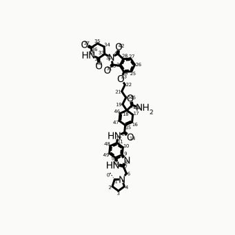 C[C@H]1CCCN1Cc1nc2cc(NC(=O)C3=CCC(CCCCOc4cccc5c4C(=O)N(C4CCC(=O)NC4=O)C5=O)(C(N)=O)C=C3)ccc2[nH]1